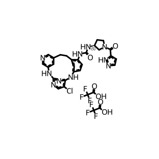 O=C(Nc1ccc2cc1CCc1cncc(c1)Nc1ncc(Cl)c(n1)N2)N[C@H]1CCN(C(=O)c2ccn[nH]2)C1.O=C(O)C(F)(F)F.O=C(O)C(F)(F)F